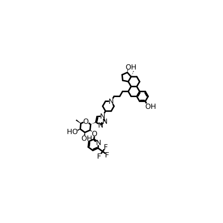 C[C@H]1O[C@H](c2cn(C3CCN(CCCC4Cc5cc(O)ccc5C5CC[C@@]6(C)C(CC[C@@H]6O)C45)CC3)nn2)[C@H](Oc2cccc(C(F)(F)F)n2)[C@@H](O)[C@H]1O